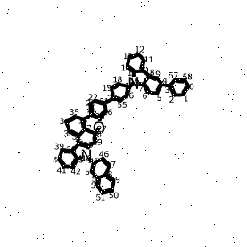 c1ccc(-c2ccc3c(c2)c2ccccc2n3-c2ccc(-c3ccc4c(c3)Oc3cc5c(c6cccc-4c36)c3ccccc3n5-c3ccc4ccccc4c3)cc2)cc1